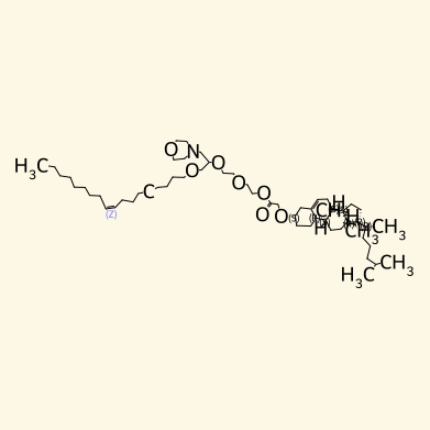 CCCCCCCC/C=C\CCCCCCCCOCC(CN1CCOCC1)OCCOCCOC(=O)CO[C@H]1CC[C@@]2(C)C(=CC[C@H]3[C@@H]4CC[C@H]([C@H](C)CCCC(C)C)[C@@]4(C)CC[C@@H]32)C1